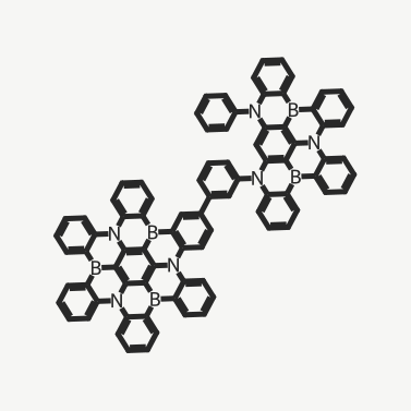 c1ccc(N2c3ccccc3B3c4ccccc4N4c5ccccc5B5c6ccccc6N(c6cccc(-c7ccc8c(c7)B7c9ccccc9N9c%10ccccc%10B%10c%11ccccc%11N%11c%12ccccc%12B%12c%13ccccc%13N8c8c%12c%11c%10c9c87)c6)c6cc2c3c4c65)cc1